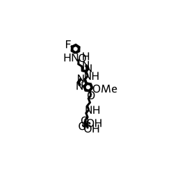 COc1cc2c(Nc3cc(CC(=O)Nc4cccc(F)c4)[nH]n3)ncnc2cc1OCCCNCCOP(=O)(O)O